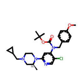 COc1ccc(CN(C(=O)OC(C)(C)C)c2cc(N3CCN(CC4CC4)C[C@@H]3C)ncc2Cl)cc1